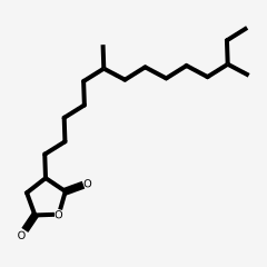 CCC(C)CCCCCC(C)CCCCCC1CC(=O)OC1=O